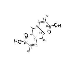 CC(=CC1CCC(C=C(C)C(=O)O)SC1)C(=O)O